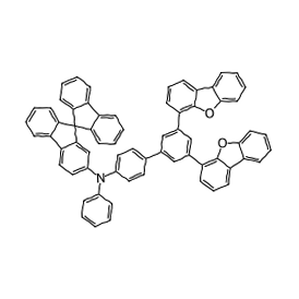 c1ccc(N(c2ccc(-c3cc(-c4cccc5c4oc4ccccc45)cc(-c4cccc5c4oc4ccccc45)c3)cc2)c2ccc3c(c2)C2(c4ccccc4-c4ccccc42)c2ccccc2-3)cc1